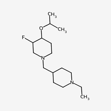 CCN1CCC(CN2CCC(OC(C)C)C(F)C2)CC1